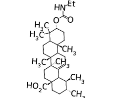 CCNC(=O)O[C@@H]1CC[C@@]2(C)C(CC[C@]3(C)C2CC=C2C4[C@@H](C)[C@H](C)CC[C@]4(C(=O)O)CC[C@]23C)C1(C)C